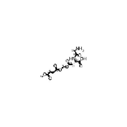 COC(=O)/C=C/C(=O)OCOC(=O)C[C@H](NC(=O)CN)C(=O)O